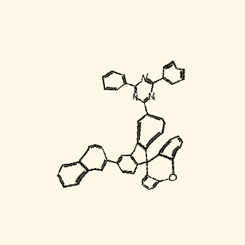 c1ccc(-c2nc(-c3ccccc3)nc(-c3ccc4c(c3)-c3cc(-c5ccc6ccccc6c5)ccc3C43c4ccccc4Oc4ccccc43)n2)cc1